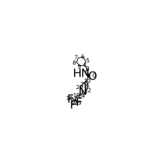 O=C(NCC1CCCCC1)C1C2CN(CCC(F)(F)F)CC21